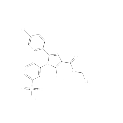 CCOC(=O)c1cc(-c2ccc(Cl)cc2)n(-c2cccc(S(C)(=O)=O)c2)c1C